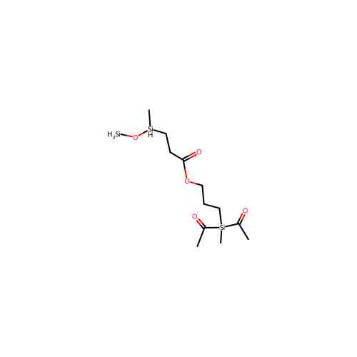 CC(=O)[Si](C)(CCCOC(=O)CC[SiH](C)O[SiH3])C(C)=O